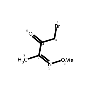 CO/N=C(/C)C(=O)CBr